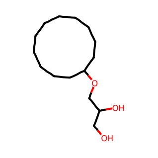 OCC(O)COC1CCCCCCCCCCC1